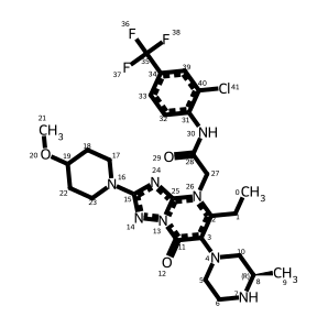 CCc1c(N2CCN[C@H](C)C2)c(=O)n2nc(N3CCC(OC)CC3)nc2n1CC(=O)Nc1ccc(C(F)(F)F)cc1Cl